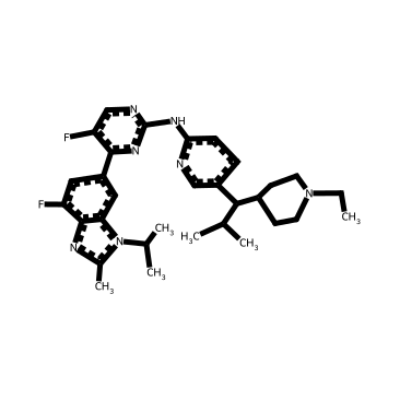 CCN1CCC(C(c2ccc(Nc3ncc(F)c(-c4cc(F)c5nc(C)n(C(C)C)c5c4)n3)nc2)C(C)C)CC1